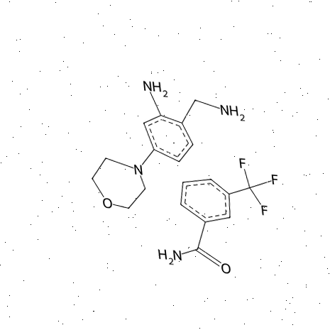 NC(=O)c1cccc(C(F)(F)F)c1.NCc1ccc(N2CCOCC2)cc1N